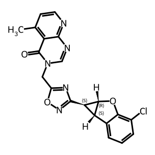 Cc1ccnc2ncn(Cc3nc([C@H]4[C@@H]5Oc6c(Cl)cccc6[C@@H]54)no3)c(=O)c12